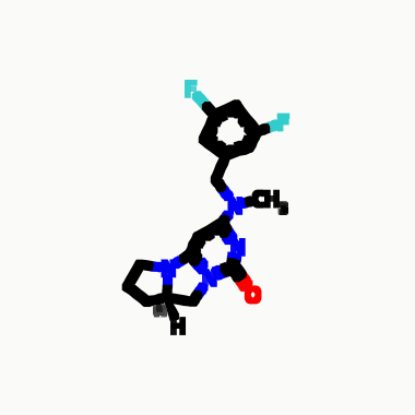 CN(Cc1cc(F)cc(F)c1)c1cc2n(c(=O)n1)C[C@@H]1CCCN21